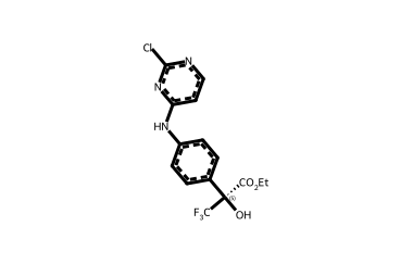 CCOC(=O)[C@@](O)(c1ccc(Nc2ccnc(Cl)n2)cc1)C(F)(F)F